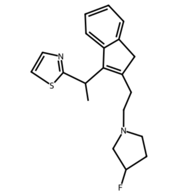 CC(C1=C(CCN2CCC(F)C2)Cc2ccccc21)c1nccs1